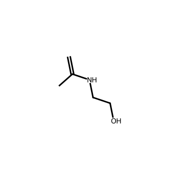 C=C(C)NCCO